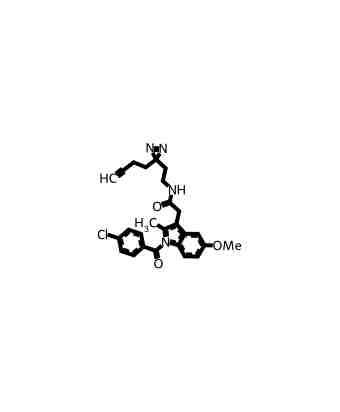 C#CCCC1(CCNC(=O)Cc2c(C)n(C(=O)c3ccc(Cl)cc3)c3ccc(OC)cc23)N=N1